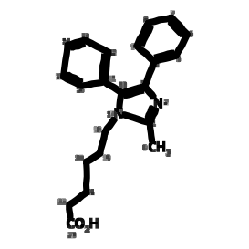 Cc1nc(-c2ccccc2)c(-c2ccccc2)n1CCCCCC(=O)O